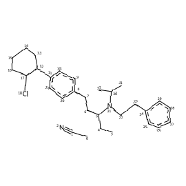 CC#N.CCC(CCc1ccc(C2CCCCC2Cl)cc1)N(CCc1ccccc1)C(C)C